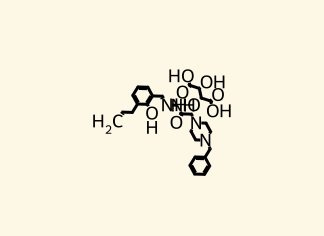 C=CCc1cccc(C=NNC(=O)CN2CCN(Cc3ccccc3)CC2)c1O.O=C(O)C(O)C(O)C(=O)O